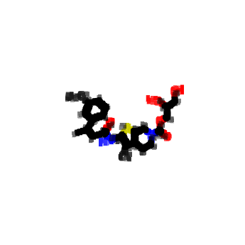 COc1cccc(C(C)CC(=O)Nc2sc3c(c2C#N)CCN(C(=O)OCC(O)CO)C3)c1